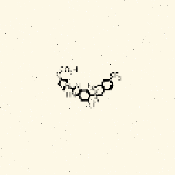 O=C(O)Oc1cnn(-c2nc3cc(S(=O)(=O)Cc4ccc(C(F)(F)F)cc4C(F)(F)F)c(Cl)cc3[nH]2)c1